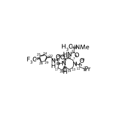 CN[C@@H](C)C(=O)N[C@H]1CN(C(=O)CC(C)C)CC[C@H]2CC[C@@H](C(=O)NCc3ccc(C(F)(F)F)cc3)N2C1=O